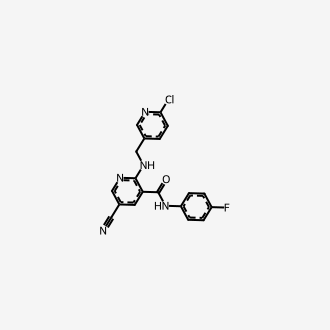 N#Cc1cnc(NCc2ccc(Cl)nc2)c(C(=O)Nc2ccc(F)cc2)c1